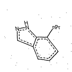 CCCc1c[c]cc2cn[nH]c12